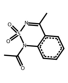 CC(=O)N1c2ccccc2C(C)=NS1(=O)=O